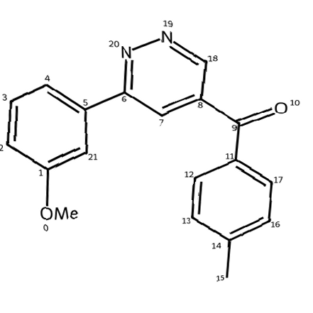 COc1cccc(-c2cc(C(=O)c3ccc(C)cc3)cnn2)c1